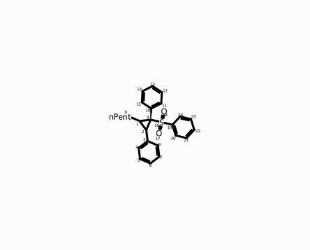 CCCCCC1C(c2ccccc2)[C@@]1(c1ccccc1)S(=O)(=O)c1ccccc1